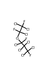 FC(Cl)(Cl)C(F)(Cl)OC(F)(Cl)C(Cl)(Cl)C(F)(Cl)Cl